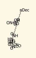 CCCCCCCCCCCCCCCCCOCC(OC(=O)CCCCCCCC(=O)NCCNC(=O)O[C@]1(CC)C(=O)OCc2c1cc1n(c2=O)Cc2cc3ccccc3nc2-1)C(O)OCCN=O